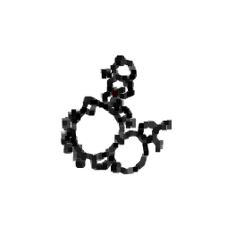 CCO[C@@]1(CN2CCN3CCOC[C@@H]3C2)C2=C[C@@H](C2)[C@H](C)[C@@H](C)S(=O)(=O)NC(=O)c2ccc3c(c2)N(Cc2ccc(Cl)c(F)c2CCCCO3)C[C@@H]2CC[C@H]21